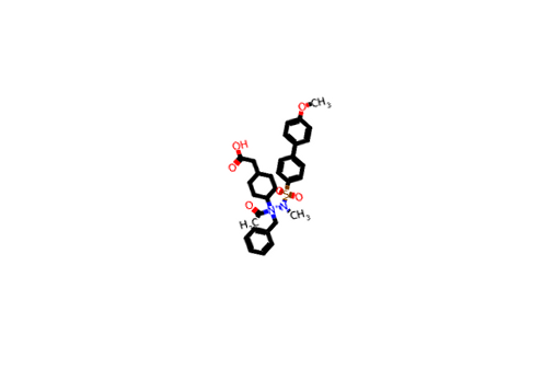 COc1ccc(-c2ccc(S(=O)(=O)N(C)[N+](Cc3ccccc3)(C(C)=O)C3CCC(CC(=O)O)CC3)cc2)cc1